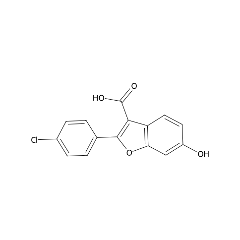 O=C(O)c1c(-c2ccc(Cl)cc2)oc2cc(O)ccc12